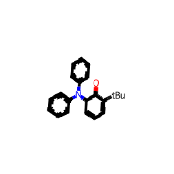 CC(C)(C)C1=CC=CC(N(c2ccccc2)c2ccccc2)C1=O